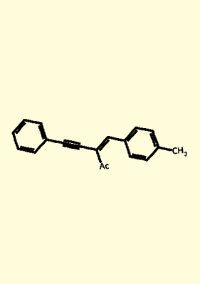 CC(=O)C(C#Cc1ccccc1)=Cc1ccc(C)cc1